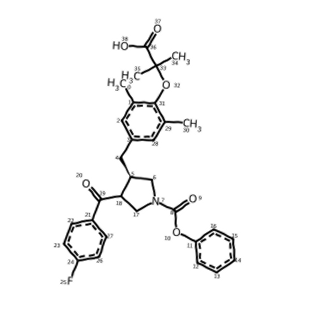 Cc1cc(C[C@H]2CN(C(=O)Oc3ccccc3)CC2C(=O)c2ccc(F)cc2)cc(C)c1OC(C)(C)C(=O)O